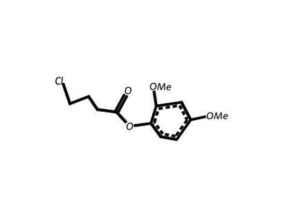 COc1ccc(OC(=O)CCCCl)c(OC)c1